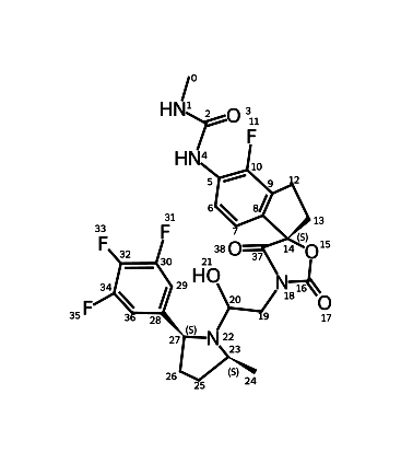 CNC(=O)Nc1ccc2c(c1F)CC[C@]21OC(=O)N(CC(O)N2[C@@H](C)CC[C@H]2c2cc(F)c(F)c(F)c2)C1=O